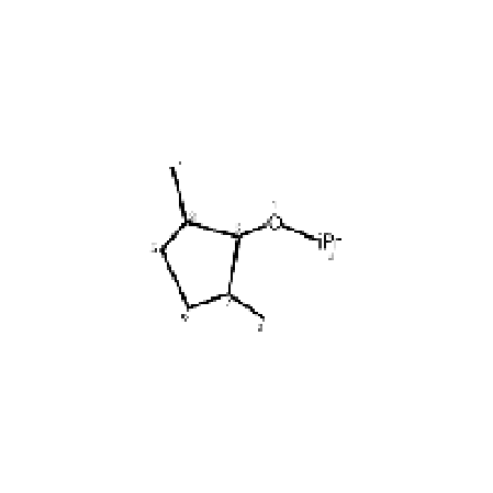 CC(C)OC1C(C)CCC1C